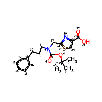 CC(C)(C)OC(=O)N(CCCc1ccccc1)Cc1nc(C(=O)O)cs1